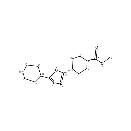 COC(=O)[C@H]1CC[C@H](c2nnc(C3CCOCC3)o2)CC1